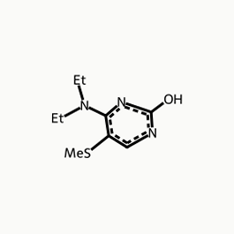 CCN(CC)c1nc(O)ncc1SC